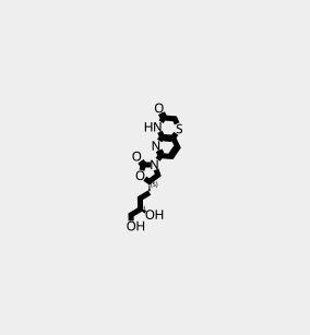 O=C1CSc2ccc(N3C[C@H](CC[C@@H](O)CO)OC3=O)nc2N1